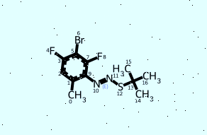 Cc1cc(F)c(Br)c(F)c1/N=N/SC(C)(C)C